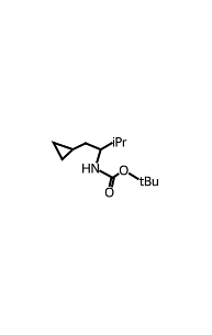 CC(C)C(CC1CC1)NC(=O)OC(C)(C)C